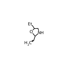 C=CC1NCC(CC)O1